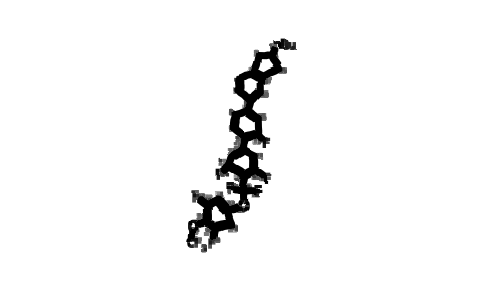 CCCCC1Cc2ccc(-c3ccc(-c4cc(F)c(C(F)(F)Oc5cc(F)c(OC(F)(F)F)c(F)c5)c(F)c4)c(F)c3)cc2C1